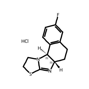 Cl.Fc1ccc2c(c1)CC[C@@H]1N=C3SCCN3[C@@H]21